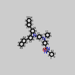 c1ccc(-c2noc(-c3ccc(N(c4ccccc4)c4ccc(-n5c6ccc(-c7ccc8ccccc8c7)cc6c6cc(-c7ccc8ccccc8c7)ccc65)cc4)cc3)n2)cc1